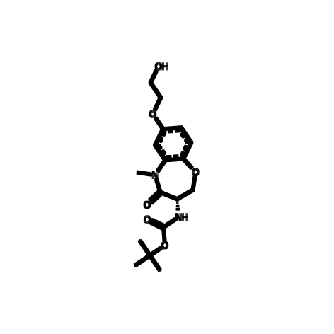 CN1C(=O)[C@@H](NC(=O)OC(C)(C)C)COc2ccc(OCCO)cc21